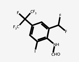 O=CNc1c(I)cc(C(F)(C(F)(F)F)C(F)(F)F)cc1C(F)F